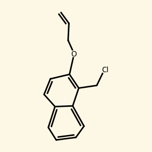 C=CCOc1ccc2ccccc2c1CCl